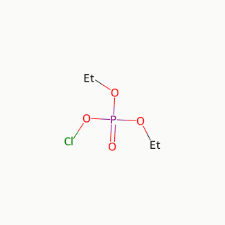 CCOP(=O)(OCl)OCC